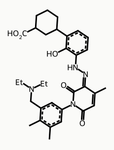 CCN(CC)Cc1cc(N2C(=O)C=C(C)C(=NNc3cccc(C4CCCC(C(=O)O)C4)c3O)C2=O)cc(C)c1C